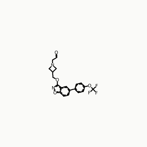 O=CCN1CC(COc2noc3ccc(-c4ccc(OC(F)(F)F)cc4)cc23)C1